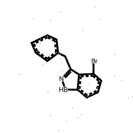 Brc1cccc2c1C(Cc1ccccc1)=NB2